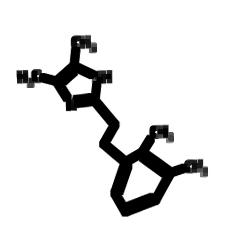 Cc1cccc(CCc2nc(C)c(C)[nH]2)c1C